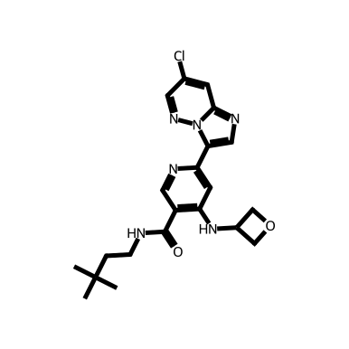 CC(C)(C)CCNC(=O)c1cnc(-c2cnc3cc(Cl)cnn23)cc1NC1COC1